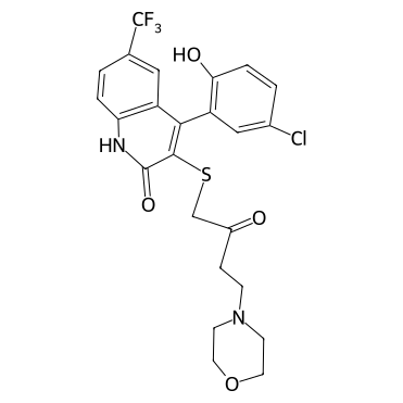 O=C(CCN1CCOCC1)CSc1c(-c2cc(Cl)ccc2O)c2cc(C(F)(F)F)ccc2[nH]c1=O